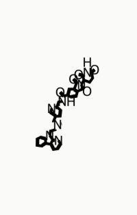 CN(CCn1c2ccccc2c2cccnc21)Cc1ccc(CNC(=O)c2ccc3c(c2)C(=O)N(C2CCC(=O)NC2=O)C3=O)nc1